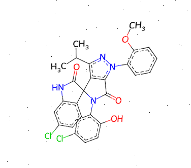 COc1ccccc1-n1nc(C(C)C)c2c1C(=O)N(c1cc(Cl)ccc1O)C21C(=O)Nc2cc(Cl)ccc21